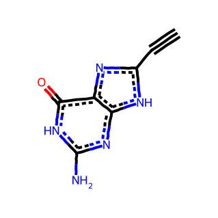 C#Cc1nc2c(=O)[nH]c(N)nc2[nH]1